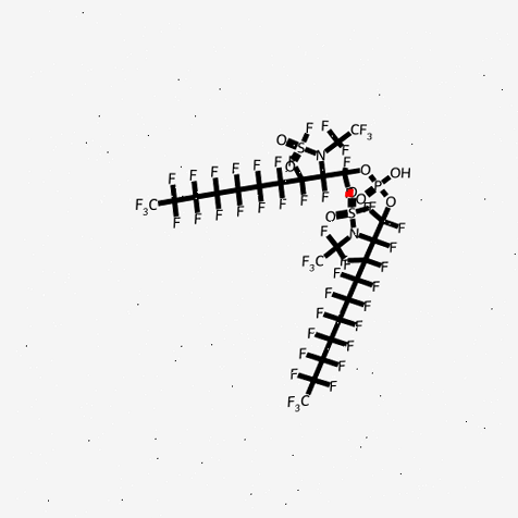 O=P(O)(OC(F)(F)C(F)(N(C(F)(F)C(F)(F)F)S(=O)(=O)F)C(F)(F)C(F)(F)C(F)(F)C(F)(F)C(F)(F)C(F)(F)C(F)(F)C(F)(F)F)OC(F)(F)C(F)(N(C(F)(F)C(F)(F)F)S(=O)(=O)F)C(F)(F)C(F)(F)C(F)(F)C(F)(F)C(F)(F)C(F)(F)C(F)(F)C(F)(F)F